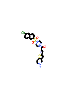 O=C(/C=C/c1cc2c(s1)CCNC2)N1CCN(S(=O)(=O)c2ccc3cc(Cl)ccc3c2)CC1